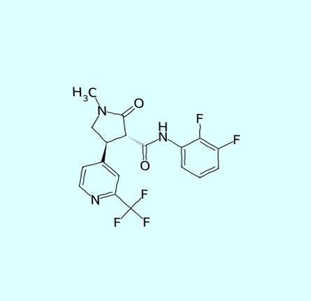 CN1C[C@H](c2ccnc(C(F)(F)F)c2)[C@@H](C(=O)Nc2cccc(F)c2F)C1=O